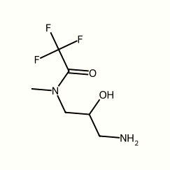 CN(CC(O)CN)C(=O)C(F)(F)F